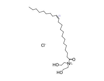 CCCCCCCC/C=C\CCCCCCCCCCCC(=O)[N+](C)(CCO)CCO.[Cl-]